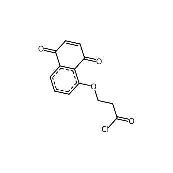 O=C(Cl)CCOc1cccc2c1C(=O)C=CC2=O